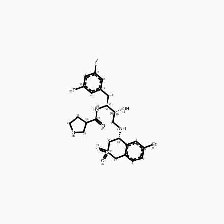 CCc1ccc2c(c1)[C@@H](NC[C@@H](O)[C@H](Cc1cc(F)cc(F)c1)NC(=O)C1CCOC1)CS(=O)(=O)C2